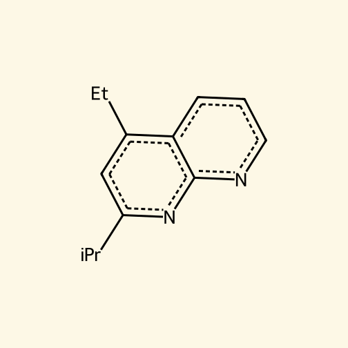 CCc1cc(C(C)C)nc2ncccc12